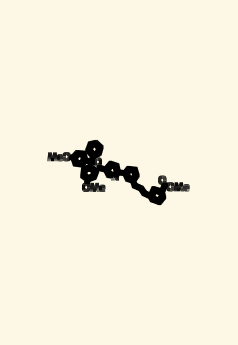 COC(=O)c1cccc(CCCc2cccc(-c3ccc(COC(c4ccccc4)(c4ccc(OC)cc4)c4ccc(OC)cc4)cn3)c2)c1